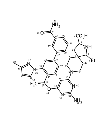 CCC1NC(C(=O)O)CC12CCN(c1cc(O[C@H](c3ccc(-c4cccc(C(N)=O)c4)cc3-n3ccc(C)n3)C(F)(F)F)nc(N)n1)CC2